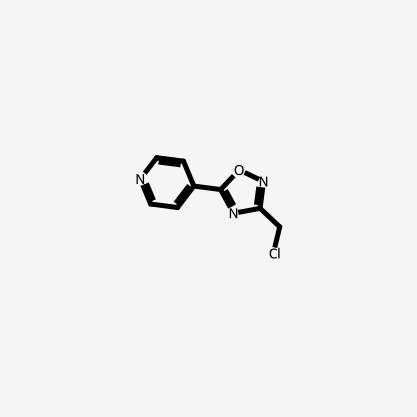 ClCc1noc(-c2ccncc2)n1